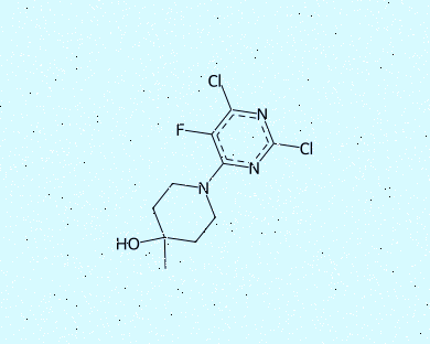 CC1(O)CCN(c2nc(Cl)nc(Cl)c2F)CC1